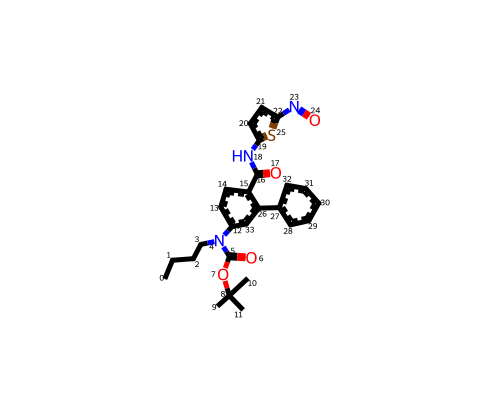 CCCCN(C(=O)OC(C)(C)C)c1ccc(C(=O)Nc2ccc(N=O)s2)c(-c2ccccc2)c1